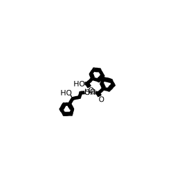 O=C(O)c1ccccc1.O=C(O)c1ccccc1.OCC[C@@H](O)c1ccccc1